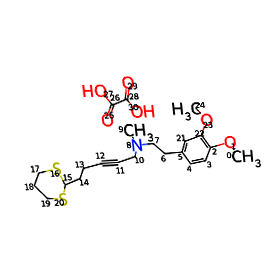 COc1ccc(CCN(C)CC#CCCC2SCCCS2)cc1OC.O=C(O)C(=O)O